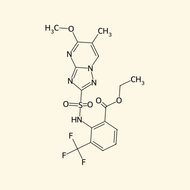 CCOC(=O)c1cccc(C(F)(F)F)c1NS(=O)(=O)c1nc2nc(OC)c(C)cn2n1